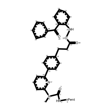 CCCCCNC(=O)N(C)c1cccc(-c2ccc(CCC(=O)ONc3ccccc3C(=O)c3ccccc3)cc2)n1